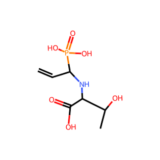 C=CC(NC(C(=O)O)C(C)O)P(=O)(O)O